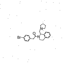 O=C(Cc1ccc(Br)cc1)N1CCc2ccccc2C1CN1CCCC1